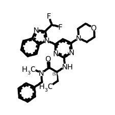 CC[C@H](Nc1nc(N2CCOCC2)cc(-n2c(C(F)F)nc3ccccc32)n1)C(=O)N(C)Cc1ccccc1